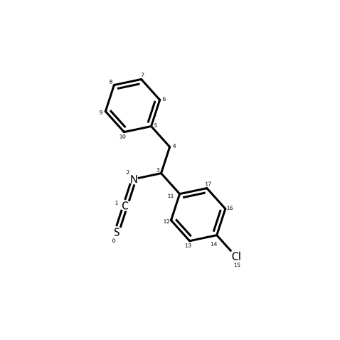 S=C=NC(Cc1ccccc1)c1ccc(Cl)cc1